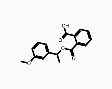 COc1cccc(C(C)OC(=O)c2ccccc2C(=O)O)c1